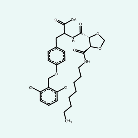 CCCCCCCCNC(=O)[C@@H]1OCO[C@H]1C(=O)NC(Cc1ccc(OCc2c(Cl)cccc2Cl)cc1)C(=O)O